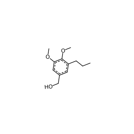 CCCc1cc(CO)cc(OC)c1OC